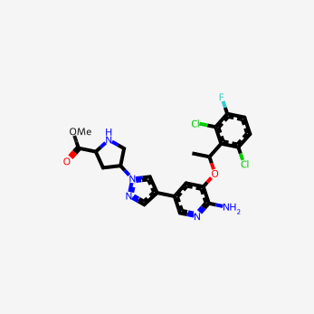 COC(=O)C1CC(n2cc(-c3cnc(N)c(OC(C)c4c(Cl)ccc(F)c4Cl)c3)cn2)CN1